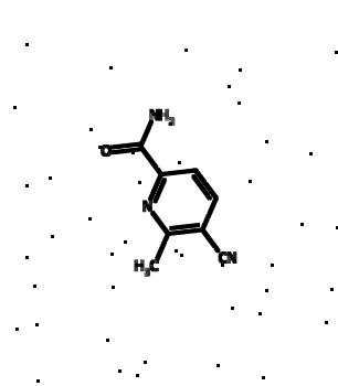 Cc1nc(C(N)=O)ccc1C#N